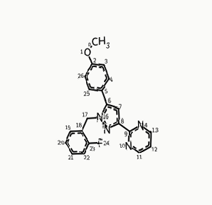 COc1ccc(-c2cc(-c3ncccn3)nn2Cc2ccccc2F)cc1